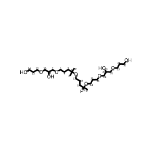 CC(C)(CCCOCC(O)COCCCO)OCCCC(C)(F)OCCCOCC(O)COCCCO